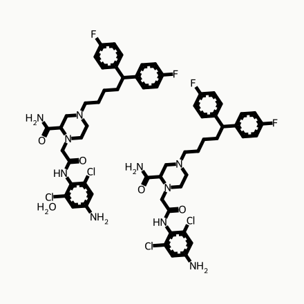 NC(=O)C1CN(CCCCC(c2ccc(F)cc2)c2ccc(F)cc2)CCN1CC(=O)Nc1c(Cl)cc(N)cc1Cl.NC(=O)C1CN(CCCCC(c2ccc(F)cc2)c2ccc(F)cc2)CCN1CC(=O)Nc1c(Cl)cc(N)cc1Cl.O